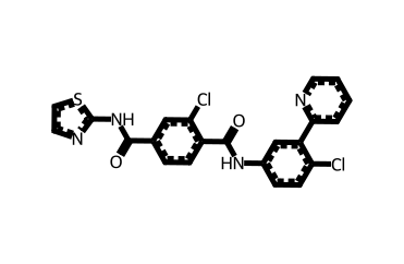 O=C(Nc1nccs1)c1ccc(C(=O)Nc2ccc(Cl)c(-c3ccccn3)c2)c(Cl)c1